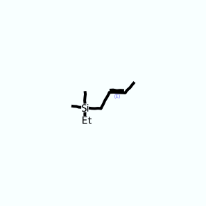 C/C=C/C[Si](C)(C)CC